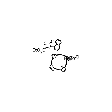 C1=Cc2cc3ccc(cc4nc(cc5ccc(cc1n2)[nH]5)C=C4)[nH]3.CCOC(=O)CCC(c1cccc2ccccc12)C(Cl)Cl.[Cl][Zn][Cl]